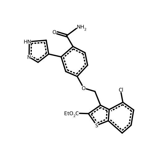 CCOC(=O)c1sc2cccc(Cl)c2c1COc1ccc(C(N)=O)c(-c2cn[nH]c2)c1